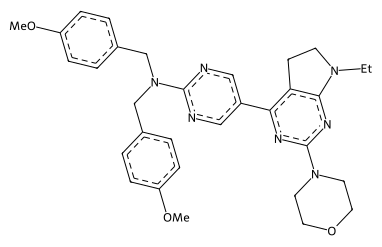 CCN1CCc2c(-c3cnc(N(Cc4ccc(OC)cc4)Cc4ccc(OC)cc4)nc3)nc(N3CCOCC3)nc21